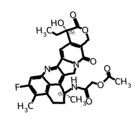 CC[C@@]1(O)C(=O)OCc2c1cc1n(c2=O)Cc2c-1nc1cc(F)c(C)c3c1c2[C@@](C)(NC(=O)COC(C)=O)CC3